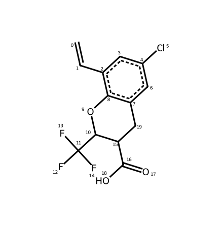 C=Cc1cc(Cl)cc2c1OC(C(F)(F)F)C(C(=O)O)C2